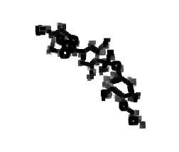 CCC12COC(c3cc(F)c(C(F)(F)Oc4cc(F)c(OCC(F)(F)F)c(F)c4)c(F)c3)(OC1)OC2